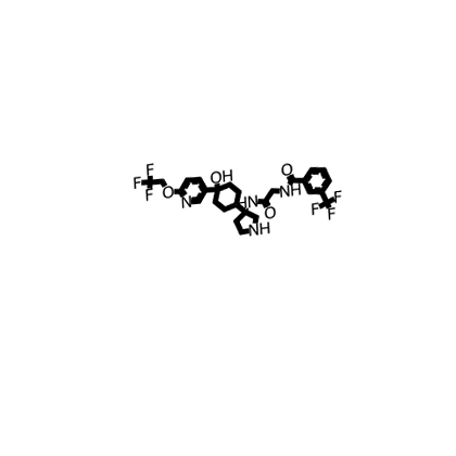 O=C(CNC(=O)c1cccc(C(F)(F)F)c1)N[C@@]1(C2CCC(O)(c3ccc(OCC(F)(F)F)nc3)CC2)CCNC1